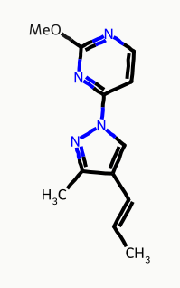 C/C=C/c1cn(-c2ccnc(OC)n2)nc1C